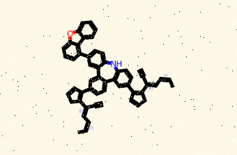 C#C/C(=C\C=C/C)C1=C(c2ccc3c(c2)-c2ccc(C4=C(/C(C#C)=C/C=C\C)CC=C4)cc2-c2cc(-c4cccc5oc6ccccc6c45)ccc2N3)C=CC1